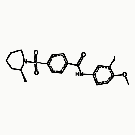 COc1ccc(NC(=O)c2ccc(S(=O)(=O)N3CCCC[C@@H]3C)cc2)cc1I